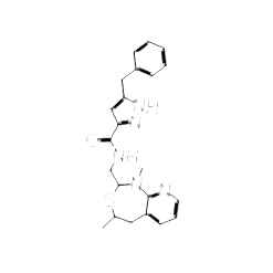 CC1Cc2cccnc2N(C)C(CNC(=O)c2cc(Cc3ccccc3)[nH]n2)O1